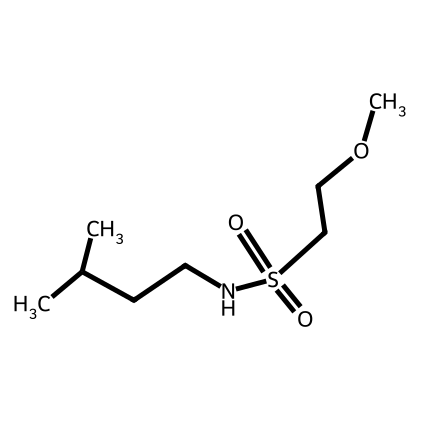 COCCS(=O)(=O)NCCC(C)C